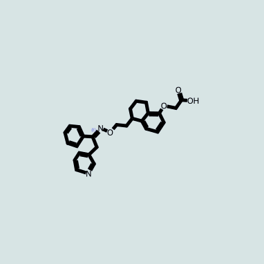 O=C(O)COc1cccc2c1CCCC2CCO/N=C(\Cc1cccnc1)c1ccccc1